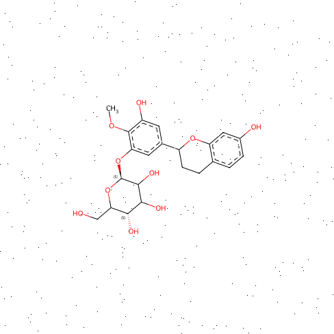 COc1c(O)cc(C2CCc3ccc(O)cc3O2)cc1O[C@@H]1OC(CO)[C@@H](O)C(O)C1O